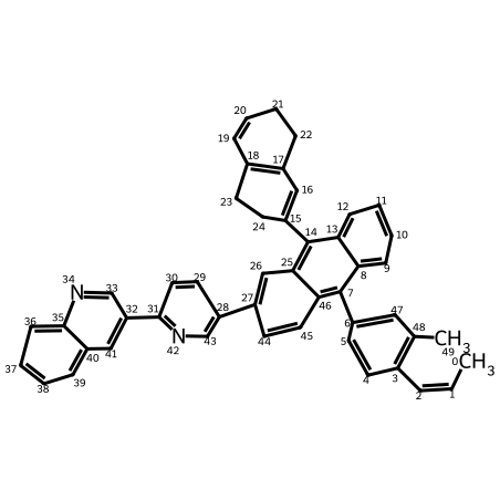 C/C=C\c1ccc(-c2c3ccccc3c(C3=CC4=C(C=CCC4)CC3)c3cc(-c4ccc(-c5cnc6ccccc6c5)nc4)ccc23)cc1C